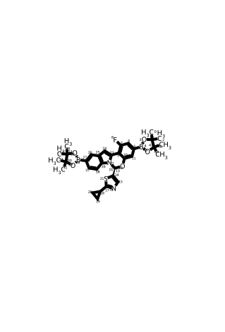 CC1(C)OB(c2cc(F)c3c(c2)O[C@@H](c2cnc(C4CC4)s2)n2c-3cc3cc(B4OC(C)(C)C(C)(C)O4)ccc32)OC1(C)C